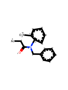 CC(=O)CC(=O)N(Cc1ccccc1)c1ccccc1[N+](=O)[O-]